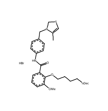 Br.CCCCCCCCCCCCCCOc1c(OC)cccc1C(=O)Nc1ccc(CN2CSC=C2C)cc1